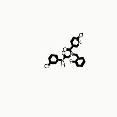 O=C(CN(Cc1ccccc1F)C(=O)c1ccc(Cl)nc1)Nc1cccc(Cl)c1